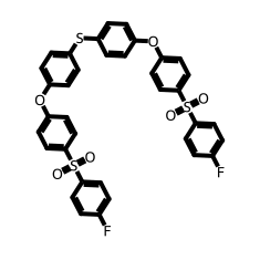 O=S(=O)(c1ccc(F)cc1)c1ccc(Oc2ccc(Sc3ccc(Oc4ccc(S(=O)(=O)c5ccc(F)cc5)cc4)cc3)cc2)cc1